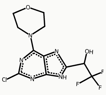 OC(c1nc2c(N3CCOCC3)nc(Cl)nc2[nH]1)C(F)(F)F